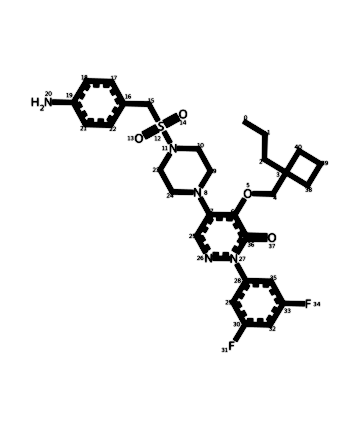 CCCC1(COc2c(N3CCN(S(=O)(=O)Cc4ccc(N)cc4)CC3)cnn(-c3cc(F)cc(F)c3)c2=O)CCC1